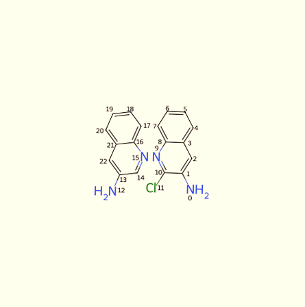 Nc1cc2ccccc2nc1Cl.Nc1cnc2ccccc2c1